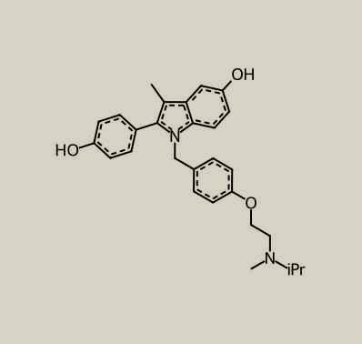 Cc1c(-c2ccc(O)cc2)n(Cc2ccc(OCCN(C)C(C)C)cc2)c2ccc(O)cc12